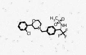 CS(=O)(=O)N[C@@H](c1ccc(CN2CCOC(c3ccccc3Cl)C2)cc1)C(F)(F)F